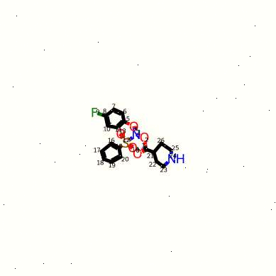 O=C(ON(Oc1ccc(F)cc1)S(=O)(=O)c1ccccc1)C1CCNCC1